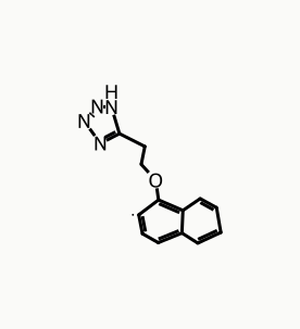 [c]1ccc2ccccc2c1OCCc1nnn[nH]1